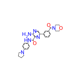 Nc1ncc(-c2cccc(C(=O)N3CCOCC3)c2)nc1C(=O)Nc1ccc(N2CCCC2)cc1